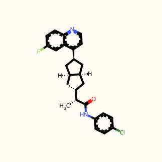 C[C@@H](C(=O)Nc1ccc(Cl)cc1)[C@@H]1C[C@H]2C[C@@H](c3ccnc4ccc(F)cc34)C[C@H]2C1